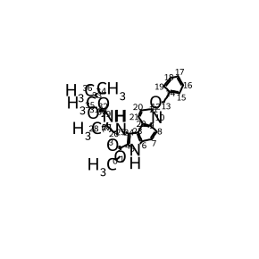 COC(=O)c1[nH]c2ccc3nc(OCc4ccccc4)ccc3c2c1NC[C@@H](C)NC(=O)OC(C)(C)C